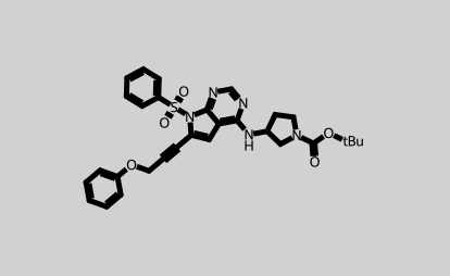 CC(C)(C)OC(=O)N1CCC(Nc2ncnc3c2cc(C#CCOc2ccccc2)n3S(=O)(=O)c2ccccc2)C1